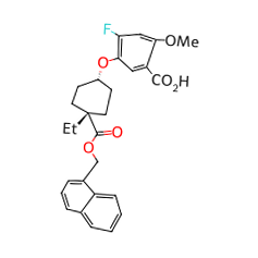 CC[C@]1(C(=O)OCc2cccc3ccccc23)CC[C@@H](Oc2cc(C(=O)O)c(OC)cc2F)CC1